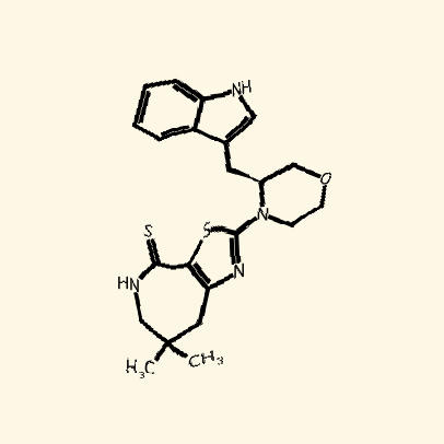 CC1(C)CNC(=S)c2sc(N3CCOC[C@@H]3Cc3c[nH]c4ccccc34)nc2C1